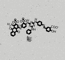 Nc1c(S(=O)(=O)[O-])cc(Nc2ccc(Nc3nc(Nc4ccccc4)nc(Nc4ccc(N=Nc5ccc(O)c(C(=O)[O-])c5)cc4)n3)c(S(=O)(=O)[O-])c2)c2c1C(=O)c1ccccc1C2=O.[Na+].[Na+].[Na+]